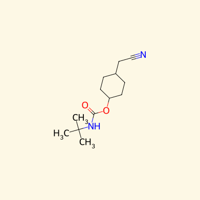 CC(C)(C)NC(=O)OC1CCC(CC#N)CC1